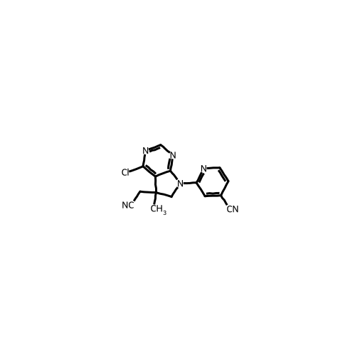 CC1(CC#N)CN(c2cc(C#N)ccn2)c2ncnc(Cl)c21